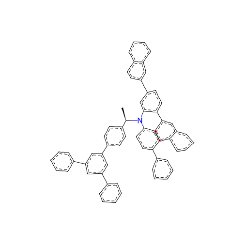 C[C@H](c1ccc(-c2cc(-c3ccccc3)cc(-c3ccccc3)c2)cc1)N(c1ccc(-c2ccccc2)cc1)c1cc(-c2ccc3ccccc3c2)ccc1-c1ccc2ccccc2c1